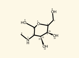 CNC1C(O)OC(CO)[C@@H](O)[C@H]1O